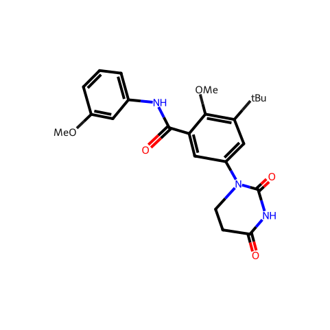 COc1cccc(NC(=O)c2cc(N3CCC(=O)NC3=O)cc(C(C)(C)C)c2OC)c1